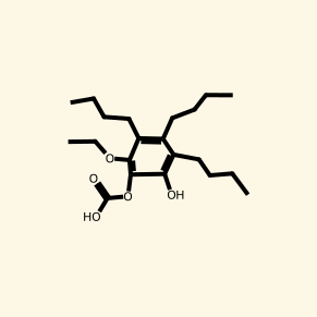 CCCCc1c(O)c(OC(=O)O)c(OCC)c(CCCC)c1CCCC